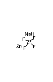 [F][Zr]([F])([F])[F].[NaH].[Zn]